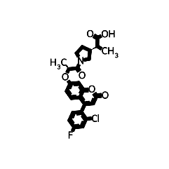 CC(C(=O)O)[C@H]1CCN(C(=O)[C@@H](C)Oc2ccc3c(-c4ccc(F)cc4Cl)cc(=O)oc3c2)C1